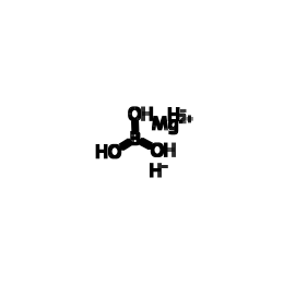 OB(O)O.[H-].[H-].[Mg+2]